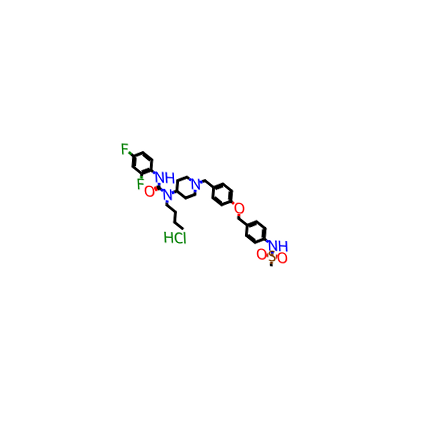 CCCCN(C(=O)Nc1ccc(F)cc1F)C1CCN(Cc2ccc(OCc3ccc(NS(C)(=O)=O)cc3)cc2)CC1.Cl